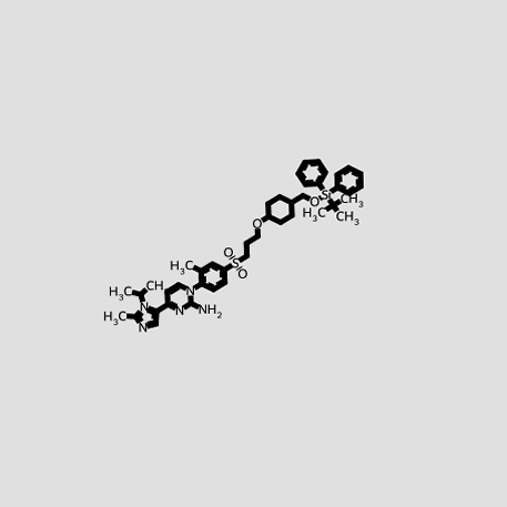 Cc1cc(S(=O)(=O)CCCOC2CCC(CO[Si](c3ccccc3)(c3ccccc3)C(C)(C)C)CC2)ccc1N1C=CC(c2cnc(C)n2C(C)C)=NC1N